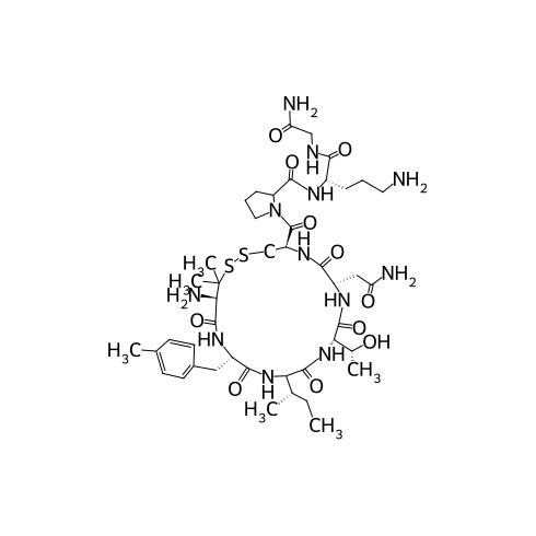 CC[C@H](C)C1NC(=O)[C@H](Cc2ccc(C)cc2)NC(=O)[C@@H](N)C(C)(C)SSC[C@@H](C(=O)N2CCCC2C(=O)N[C@@H](CCCN)C(=O)NCC(N)=O)NC(=O)[C@H](CC(N)=O)NC(=O)[C@H]([C@@H](C)O)NC1=O